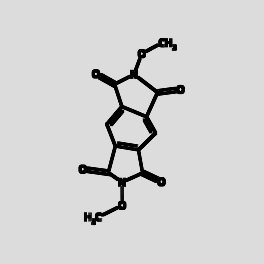 COn1c(=O)c2cc3c(=O)n(OC)c(=O)c3cc2c1=O